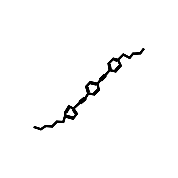 CCCCCCc1ccc(C#Cc2ccc(C#Cc3ccc(CCCCC)cc3)cc2)cc1